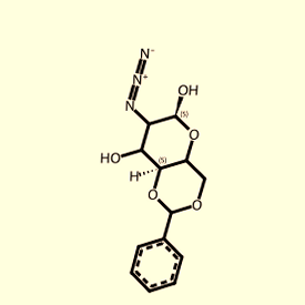 [N-]=[N+]=NC1C(O)[C@@H]2OC(c3ccccc3)OCC2O[C@@H]1O